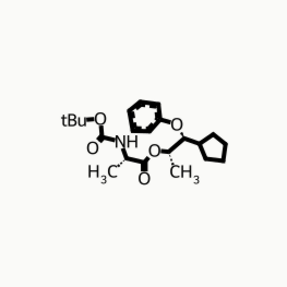 C[C@H](NC(=O)OC(C)(C)C)C(=O)O[C@@H](C)[C@H](Oc1ccccc1)C1CCCC1